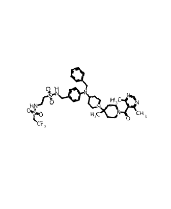 Cc1ncnc(C)c1C(=O)N1CCC(C)(N2CCC(N(Cc3ccccc3)c3ccc(CNS(=O)(=O)CCNS(=O)(=O)CC(F)(F)F)cc3)CC2)CC1